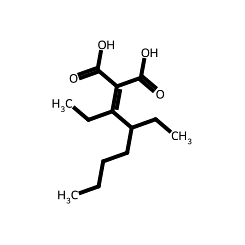 CCCCC(CC)C(CC)=C(C(=O)O)C(=O)O